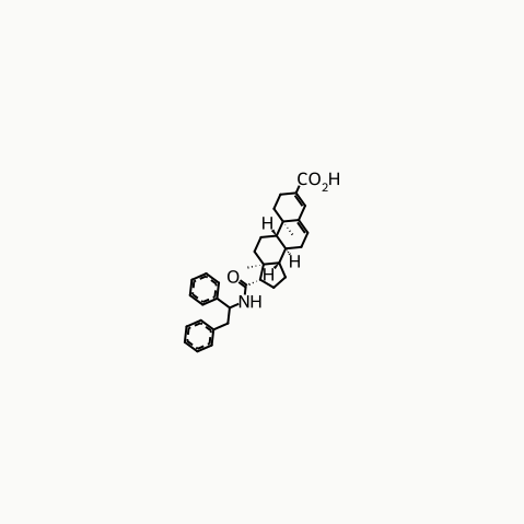 C[C@]12CC[C@H]3[C@@H](CC=C4C=C(C(=O)O)CC[C@@]43C)[C@@H]1CC[C@@H]2C(=O)NC(Cc1ccccc1)c1ccccc1